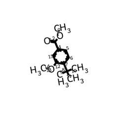 COC(=O)c1ccc(C(C)(C)C)c(OC)c1